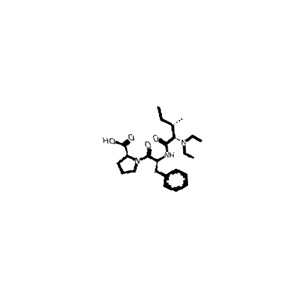 CC[C@H](C)[C@@H](C(=O)N[C@@H](Cc1ccccc1)C(=O)N1CCC[C@H]1C(=O)O)N(CC)CC